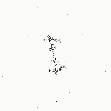 C=C1C(=O)O[C@H]2[C@H]1CC/C(CNC(=O)OCCCCCOC(=O)NC/C1=C/CC[C@@]3(C)O[C@H]3[C@H]3OC(=O)C(=C)[C@@H]3CC1)=C\CC[C@@]1(C)O[C@@H]21